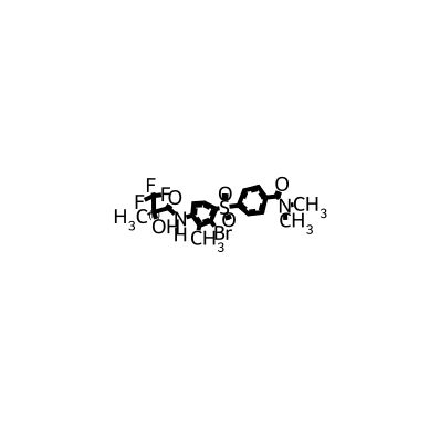 Cc1c(NC(=O)[C@@](C)(O)C(F)(F)F)ccc(S(=O)(=O)c2ccc(C(=O)N(C)C)cc2)c1Br